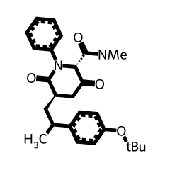 CNC(=O)[C@@H]1C(=O)C[C@@H](CC(C)c2ccc(OC(C)(C)C)cc2)C(=O)N1c1ccccc1